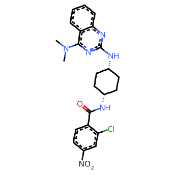 CN(C)c1nc(N[C@H]2CC[C@@H](NC(=O)c3ccc([N+](=O)[O-])cc3Cl)CC2)nc2ccccc12